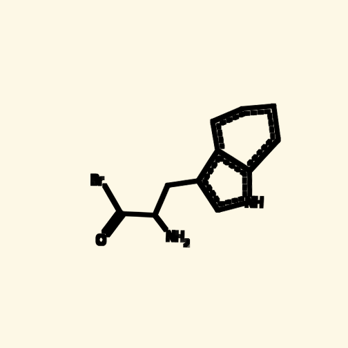 NC(Cc1c[nH]c2ccccc12)C(=O)Br